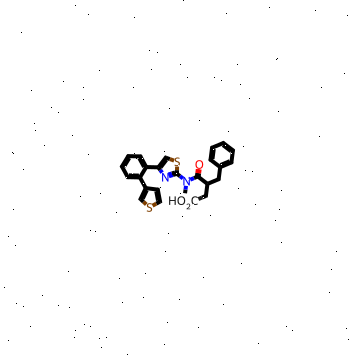 CN(C(=O)C(CC(=O)O)Cc1ccccc1)c1nc(-c2ccccc2-c2ccsc2)cs1